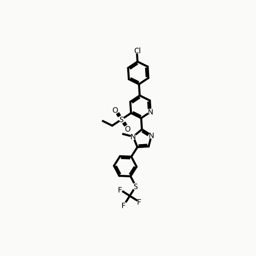 CCS(=O)(=O)c1cc(-c2ccc(Cl)cc2)cnc1-c1ncc(-c2cccc(SC(F)(F)F)c2)n1C